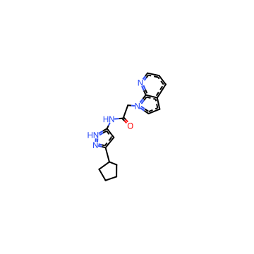 O=C(Cn1ccc2cccnc21)Nc1cc(C2CCCC2)n[nH]1